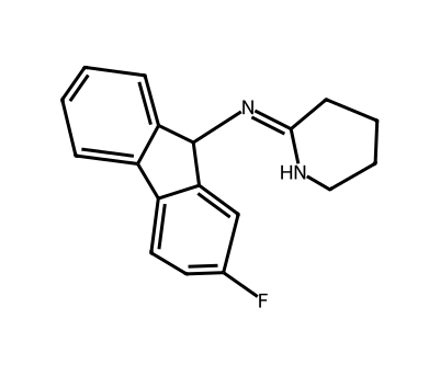 Fc1ccc2c(c1)C(/N=C1/CCCCN1)c1ccccc1-2